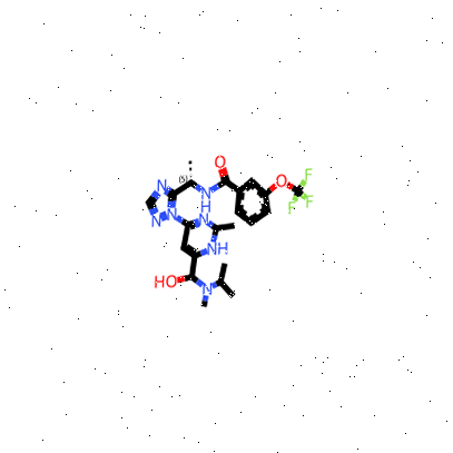 CC1N=C(n2ncnc2[C@H](C)NC(=O)c2cccc(OC(F)(F)F)c2)C=C(C(O)N(C)C(C)C)N1